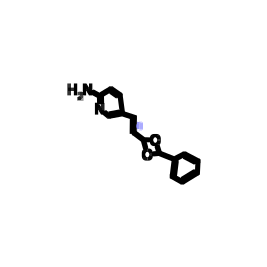 Nc1ccc(/C=C/C2OC(c3ccccc3)O2)cn1